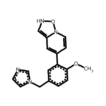 COc1ccc(Cn2ccnc2)cc1C1=CC2=CNON2C=C1